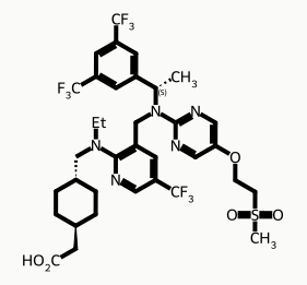 CCN(C[C@H]1CC[C@H](CC(=O)O)CC1)c1ncc(C(F)(F)F)cc1CN(c1ncc(OCCS(C)(=O)=O)cn1)[C@@H](C)c1cc(C(F)(F)F)cc(C(F)(F)F)c1